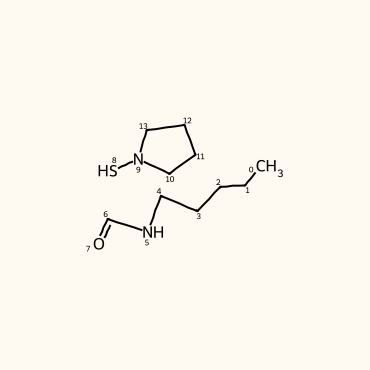 CCCCCNC=O.SN1CCCC1